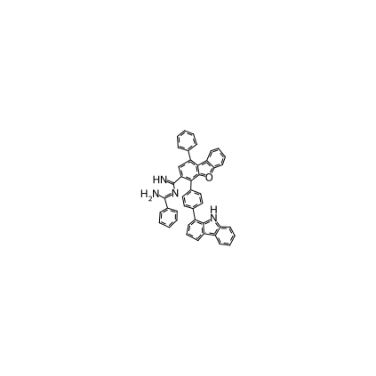 N=C(/N=C(\N)c1ccccc1)c1cc(-c2ccccc2)c2c(oc3ccccc32)c1-c1ccc(-c2cccc3c2[nH]c2ccccc23)cc1